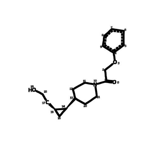 O=C(COc1ccccc1)N1CCC([C@H]2C[C@H]2CCO)CC1